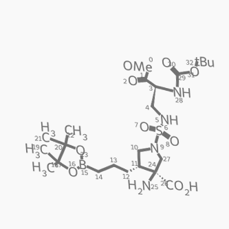 COC(=O)[C@H](CNS(=O)(=O)N1C[C@@H](CCCB2OC(C)(C)C(C)(C)O2)[C@@](N)(C(=O)O)C1)NC(=O)OC(C)(C)C